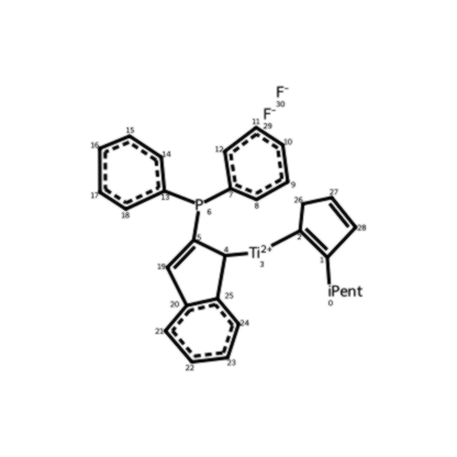 CCCC(C)C1=[C]([Ti+2][CH]2C(P(c3ccccc3)c3ccccc3)=Cc3ccccc32)CC=C1.[F-].[F-]